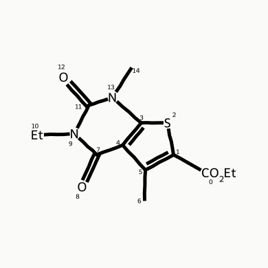 CCOC(=O)c1sc2c(c1C)c(=O)n(CC)c(=O)n2C